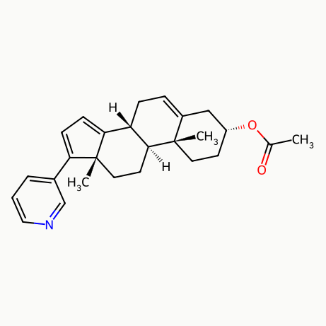 CC(=O)O[C@@H]1CC[C@@]2(C)C(=CC[C@H]3C4=CC=C(c5cccnc5)[C@@]4(C)CC[C@@H]32)C1